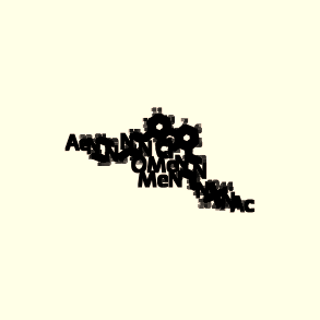 CNc1nc(-c2cccc(-c3cccc(-c4cnc(CN5CCN(C(C)=O)CC5)c(OC)n4)c3Cl)c2Cl)cnc1CN1CC2(C1)CN(C(C)=O)C2